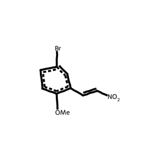 COc1ccc(Br)cc1/C=C/[N+](=O)[O-]